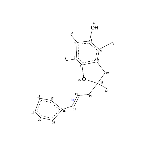 Cc1c(C)c2c(c(C)c1O)CC(C)(C/C=C/c1ccccc1)O2